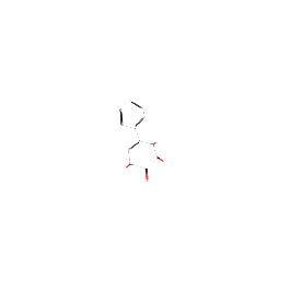 O=c1cc(-c2ccccc2)c(=O)c(=O)c1=O